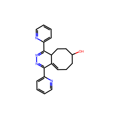 OC1CC/C=C2/C(c3ccccn3)=NN=C(c3ccccn3)C2CC1